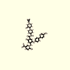 CC(C)c1ccc(-c2ccc(Oc3cc(C(=O)NC4CCN(C5CCN(C6CC6)CC5F)CC4)c(F)cc3Cn3cc(C(F)F)ccc3=O)cc2)nn1